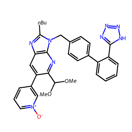 CCCCc1nc2cc(-c3ccc[n+]([O-])c3)c(C(OC)OC)nc2n1Cc1ccc(-c2ccccc2-c2nnn[nH]2)cc1